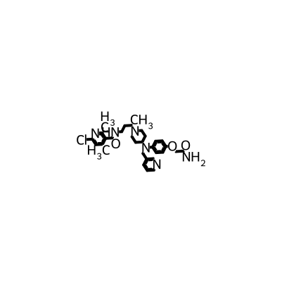 Cc1cc(Cl)nc(C)c1C(=O)NCC[C@@H](C)N1CCC(N(Cc2cccnc2)c2ccc(OCC(N)=O)cc2)CC1